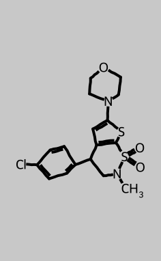 CN1CC(c2ccc(Cl)cc2)c2cc(N3CCOCC3)sc2S1(=O)=O